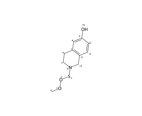 COOSN1CCc2cc(O)ccc2C1